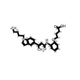 CCCCCn1ccc2cc(/C(C)=C/C(=O)Nc3ccccc3OCCCC(=O)O)ccc21